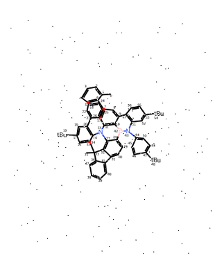 Cc1ccccc1-c1cc2c3c(c1)N(c1ccc(C(C)(C)C)cc1-c1ccccc1)c1c(ccc4c1C(C)(C)c1ccccc1-4)B3N(c1ccc(C(C)(C)C)cc1)c1cc(C(C)(C)C)ccc1-2